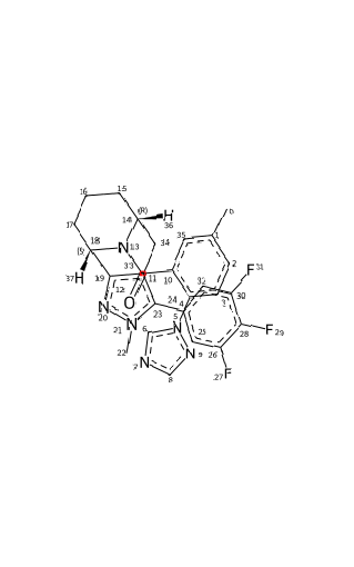 Cc1ccc(-n2cncn2)c(C(=O)N2[C@@H]3CCC[C@H]2c2nn(C)c(-c4cc(F)c(F)c(F)c4)c2C3)c1